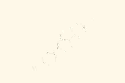 CCCC1CCC(c2cc(F)c(-c3ccc(F)c(F)c3)c(Cl)c2)CC1